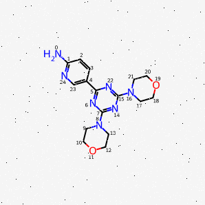 Nc1ccc(-c2nc(N3CCOCC3)nc(N3CCOCC3)n2)cn1